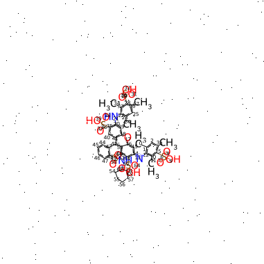 Cc1cc(C)c(S(=O)(=O)O)c(C)c1/N=c1\cc2oc3cc(Nc4c(C)cc(C)c(S(=O)(=O)O)c4C)c(S(=O)(=O)O)cc3c(-c3ccccc3S(=O)(=O)NC3CCCCC3)c-2cc1S(=O)(=O)O